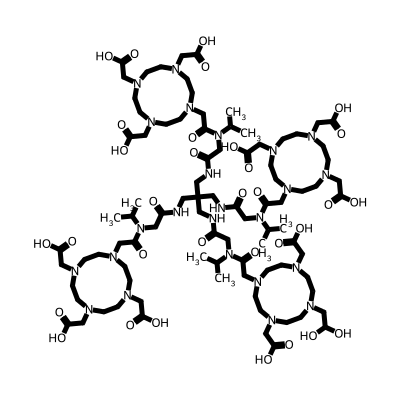 CC(C)N(CC(=O)NCC(CNC(=O)CN(C(=O)CN1CCN(CC(=O)O)CCN(CC(=O)O)CCN(CC(=O)O)CC1)C(C)C)(CNC(=O)CN(C(=O)CN1CCN(CC(=O)O)CCN(CC(=O)O)CCN(CC(=O)O)CC1)C(C)C)CNC(=O)CN(C(=O)CN1CCN(CC(=O)O)CCN(CC(O)O)CCN(CC(=O)O)CC1)C(C)C)C(=O)CN1CCN(CC(=O)O)CCN(CC(=O)O)CCN(CC(=O)O)CC1